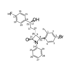 Cc1cc(Br)ccc1[C@@H]1[C@@H](CC[C@H](O)c2ccc(F)cc2)C(=O)N1c1ccccc1